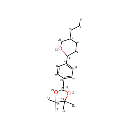 CCCC1CCC(c2ccc(B3OC(C)(C)C(C)(C)O3)cc2)OC1